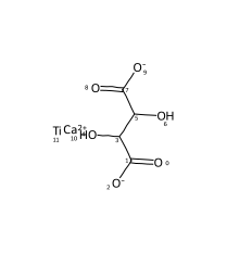 O=C([O-])C(O)C(O)C(=O)[O-].[Ca+2].[Ti]